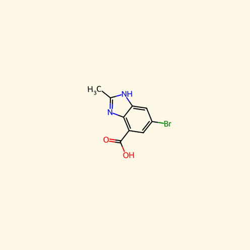 Cc1nc2c(C(=O)O)cc(Br)cc2[nH]1